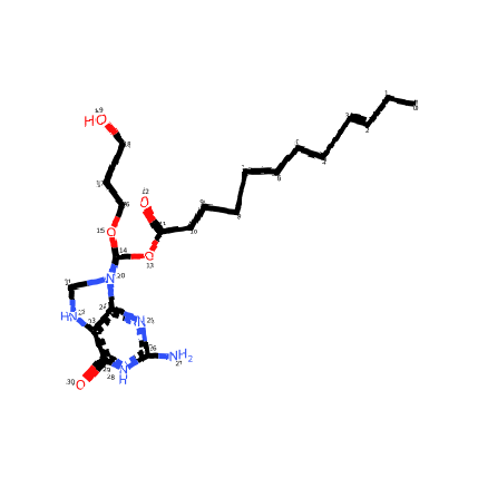 CCC=CCCCCCCCC(=O)OC(OCCCO)N1CNc2c1nc(N)[nH]c2=O